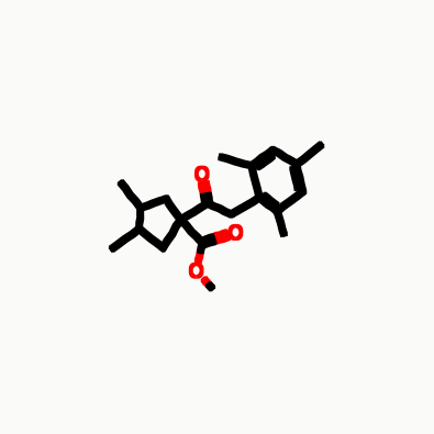 COC(=O)C1(C(=O)Cc2c(C)cc(C)cc2C)CC(C)C(C)C1